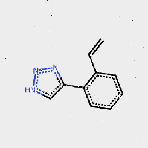 C=Cc1ccccc1-c1c[nH]nn1